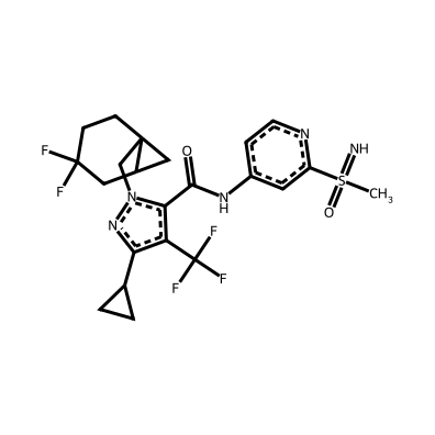 CS(=N)(=O)c1cc(NC(=O)c2c(C(F)(F)F)c(C3CC3)nn2CC23CCC(F)(F)CC2C3)ccn1